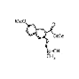 COC(=O)c1cc2cc(OC)ccc2cc1N=CN(C)C